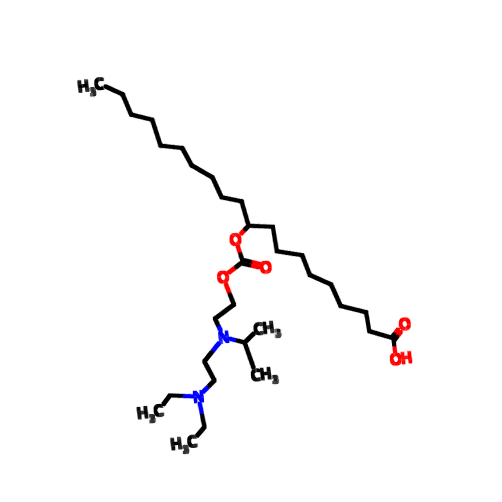 CCCCCCCCCCC(CCCCCCCCC(=O)O)OC(=O)OCCN(CCN(CC)CC)C(C)C